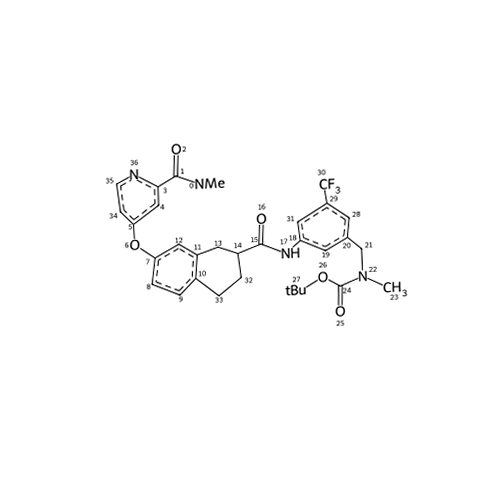 CNC(=O)c1cc(Oc2ccc3c(c2)CC(C(=O)Nc2cc(CN(C)C(=O)OC(C)(C)C)cc(C(F)(F)F)c2)CC3)ccn1